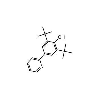 CC(C)(C)c1cc(-c2ccccn2)cc(C(C)(C)C)c1O